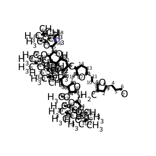 C=C1C[C@H](CCC=O)O[C@H]1CC[C@H]1CCC(=C)[C@@H](C[C@@H]2O[C@H](C[C@@H](CO[Si](C)(C)C(C)(C)C)O[Si](C)(C)C(C)(C)C)[C@@H](OC)[C@H]2CC(=O)C[C@H]2CC[C@@H]3O[C@H](C(/C=C/I)O[Si](C)(C)C(C)(C)C)C(O[Si](C)(C)C(C)(C)C)C(O[Si](C)(C)C(C)(C)C)[C@@H]3O2)O1